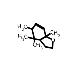 CC1C=CC2(C)OCCC2C1(C)C